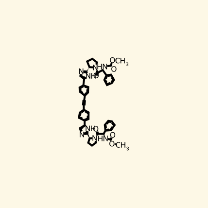 COC(=O)N[C@@H](C(=O)N1CCC[C@H]1c1ncc(-c2ccc(C#Cc3ccc(-c4cnc([C@@H]5CCCN5C(=O)[C@H](NC(=O)OC)c5ccccc5)[nH]4)cc3)cc2)[nH]1)c1ccccc1